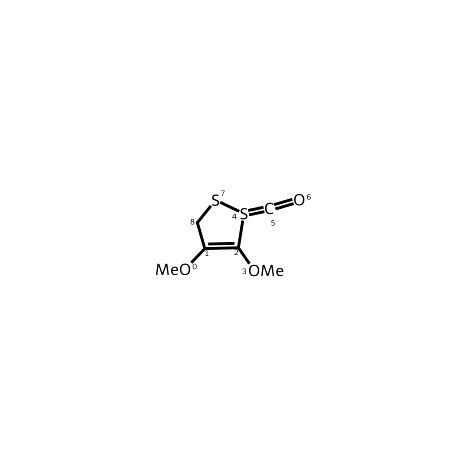 COC1=C(OC)S(=C=O)SC1